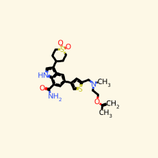 C=C(C)OCCN(C)Cc1cc(-c2cc(C(N)=O)c3[nH]cc(C4CCS(=O)(=O)CC4)c3c2)cs1